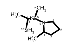 CC1CCCN1[SiH](C)C(C)[SiH3]